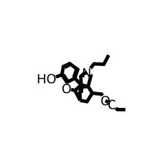 CCCOCC1CC2C=CC13CN(CCC)CCC31c3cccc(O)c3OC21